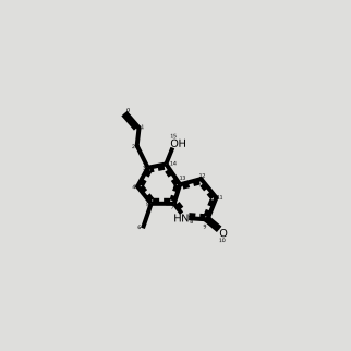 C=CCc1cc(C)c2[nH]c(=O)ccc2c1O